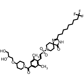 Cc1cc(C(=O)N2CCC(OC[C@H](O)CO)CC2)cc(C)c1/C=C/S(=O)(=O)N1CCC2(CC1)N=C(CCCCCCCCC(F)(F)F)NC2=O